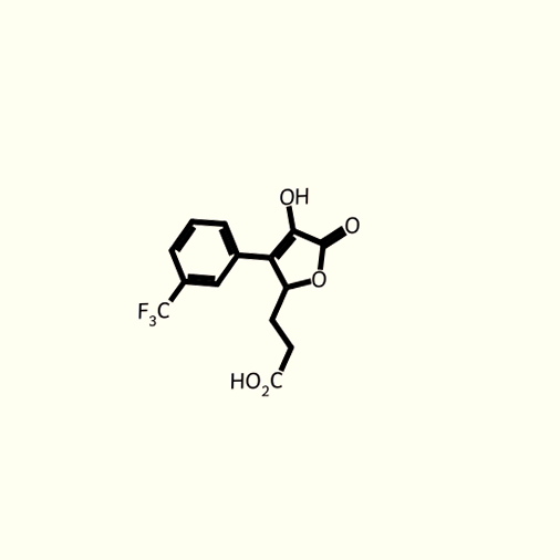 O=C(O)CCC1OC(=O)C(O)=C1c1cccc(C(F)(F)F)c1